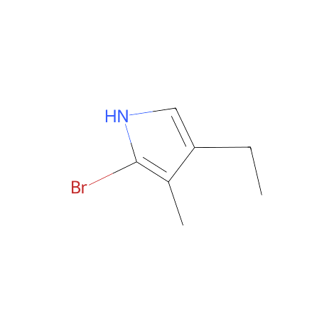 CCc1c[nH]c(Br)c1C